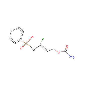 NC(=O)OCC=C(F)CS(=O)(=O)c1ccccc1